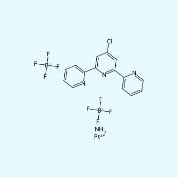 Clc1cc(-c2ccccn2)nc(-c2ccccn2)c1.F[B-](F)(F)F.F[B-](F)(F)F.N.[Pt+2]